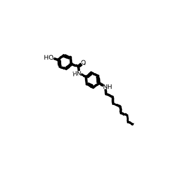 CCCCCCCCNc1ccc(NC(=O)c2ccc(O)cc2)cc1